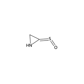 O=S=C1CN1